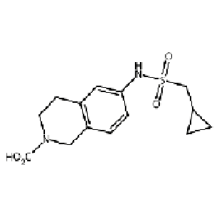 O=C(O)N1CCc2cc(NS(=O)(=O)CC3CC3)ccc2C1